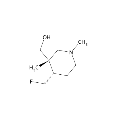 CN1CC[C@H](CF)[C@](C)(CO)C1